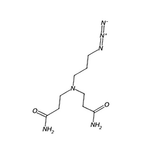 [N-]=[N+]=NCCCN(CCC(N)=O)CCC(N)=O